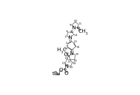 Cc1cc(N2CC[C@H](N3CCC[C@@H]3C)C2)ccc1N1CCC2(CCN(C(=O)OC(C)(C)C)CC2)C1=O